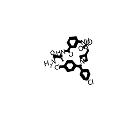 C[C@H](NC(=O)c1cccc(NS(=O)(=O)CC2CN(C(c3ccc(Cl)cc3)c3ccc(Cl)cc3)C2)c1)C(N)=O